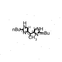 CCCCc1nc(C(C)c2c[nH]c(CCCC)n2)c[nH]1